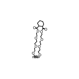 CCCCOCCOCCOCCOC(=O)C1CCCCC1C(=O)OCCOCCOCCOCCCC